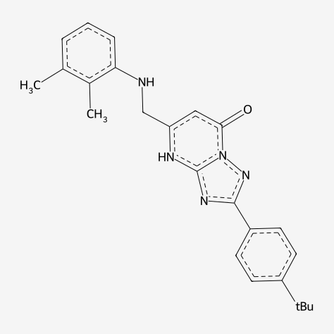 Cc1cccc(NCc2cc(=O)n3nc(-c4ccc(C(C)(C)C)cc4)nc3[nH]2)c1C